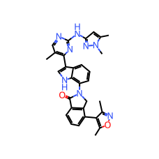 Cc1cnc(Nc2cc(C)n(C)n2)nc1-c1c[nH]c2c(N3Cc4c(cccc4-c4c(C)noc4C)C3=O)cccc12